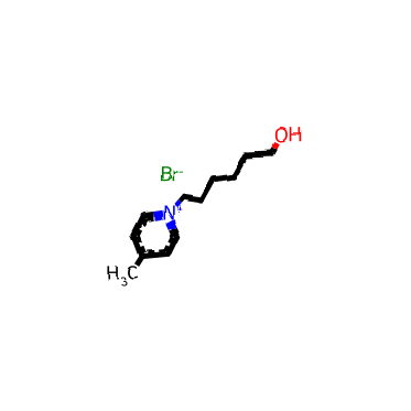 Cc1cc[n+](CCCCCCO)cc1.[Br-]